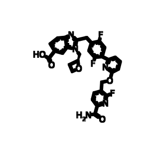 NC(=O)c1ccc(COc2cccc(-c3cc(F)c(Cc4nc5ccc(C(=O)O)cc5n4C[C@@H]4CCO4)cc3F)n2)c(F)n1